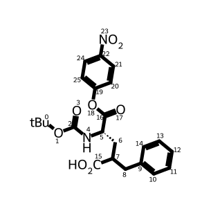 CC(C)(C)OC(=O)N[C@@H](CC(Cc1ccccc1)C(=O)O)C(=O)Oc1ccc([N+](=O)[O-])cc1